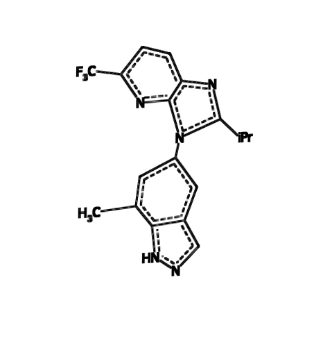 Cc1cc(-n2c(C(C)C)nc3ccc(C(F)(F)F)nc32)cc2cn[nH]c12